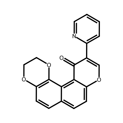 O=c1c(-c2ccccn2)coc2ccc3ccc4c(c3c12)OCCO4